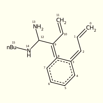 C=C/C=c1/cccc/c1=C(/C=C)C(N)NCCCC